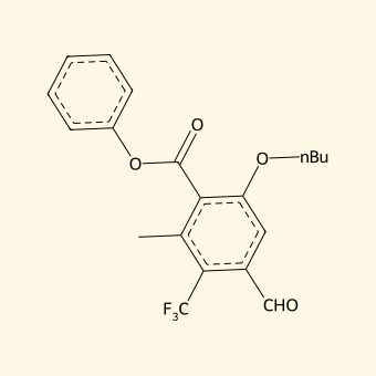 CCCCOc1cc(C=O)c(C(F)(F)F)c(C)c1C(=O)Oc1ccccc1